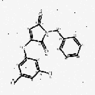 O=C1C=C(Oc2cc(Cl)cc(Cl)c2)C(=O)N1Cc1ccccc1